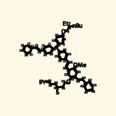 CCCCC(CC)COc1ccc(N(c2ccc(C=Cc3ccccc3)cc2)c2ccc(C=Cc3cc(OCCC(C)CCCC(C)C)c(C=Cc4ccccc4)cc3OC)cc2)cc1